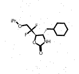 CC(C)OCC(F)(F)[C@@H]1OC(=O)N[C@H]1CC1CCCCC1